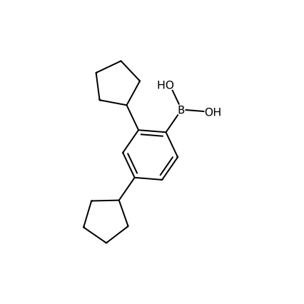 OB(O)c1ccc(C2CCCC2)cc1C1CCCC1